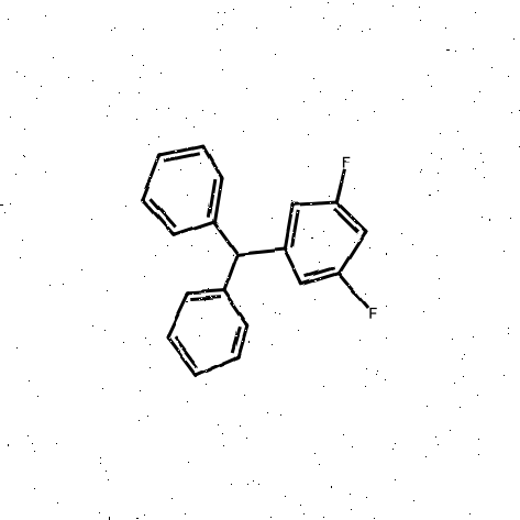 Fc1cc(F)cc([C](c2ccccc2)c2ccccc2)c1